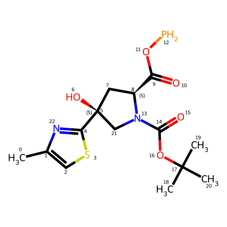 Cc1csc([C@]2(O)C[C@@H](C(=O)OP)N(C(=O)OC(C)(C)C)C2)n1